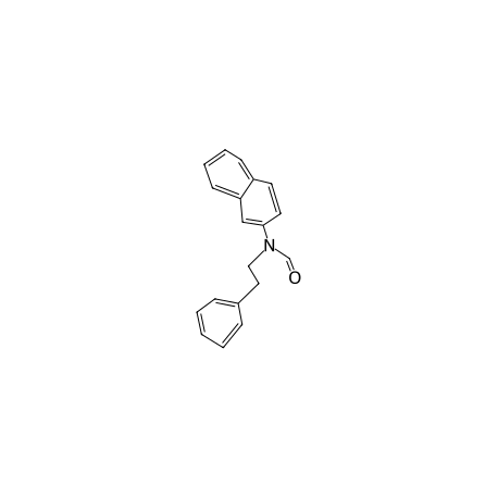 O=CN(CCc1ccccc1)c1ccc2ccccc2c1